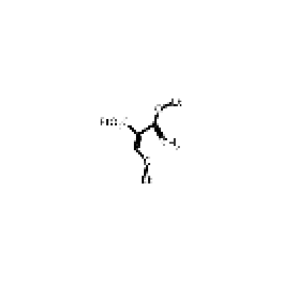 C=C(OCC)/C(=C\OCC)C(=O)OCC